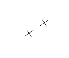 O=C([O-])C(F)(F)C(F)(F)F.O=C([O-])C(F)(F)C(F)(F)F.[Pd+2]